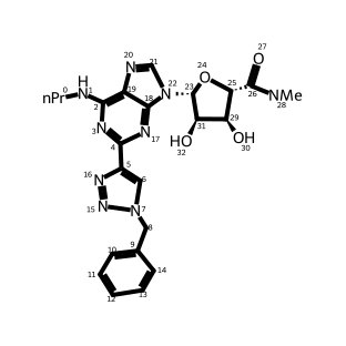 CCCNc1nc(-c2cn(Cc3ccccc3)nn2)nc2c1ncn2[C@@H]1O[C@H](C(=O)NC)[C@@H](O)[C@H]1O